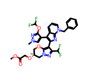 COC(=O)CO[C@@H]1COc2c(-c3nc4n(Cc5ccccc5)cccc-4c3-c3cn(C)nc3OC(F)F)c(C(F)F)nn2C1